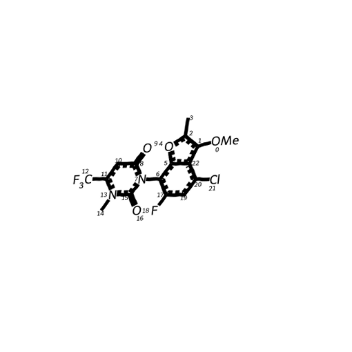 COc1c(C)oc2c(-n3c(=O)cc(C(F)(F)F)n(C)c3=O)c(F)cc(Cl)c12